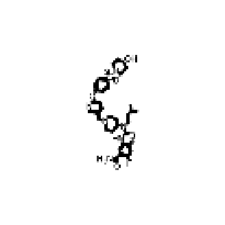 CC(C)CCN(C(=O)Nc1cc(C(N)=O)c(F)cc1F)C1CCN(Cc2ccc(Oc3ccc(S(=O)(=O)N4CCC(O)CC4)cc3)nc2)CC1